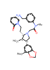 CCCCN(C(=O)CN1C[C@H](c2cc(OC)c3c(c2)OCO3)[C@@H](C(=O)O)[C@@H]1CCn1ccccc1=O)c1cccc(CN)c1